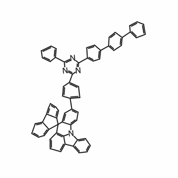 c1ccc(-c2ccc(-c3ccc(-c4nc(-c5ccccc5)nc(-c5ccc(-c6ccc7c(c6)C6(c8ccccc8-c8ccccc86)c6cccc8c9ccccc9n-7c68)cc5)n4)cc3)cc2)cc1